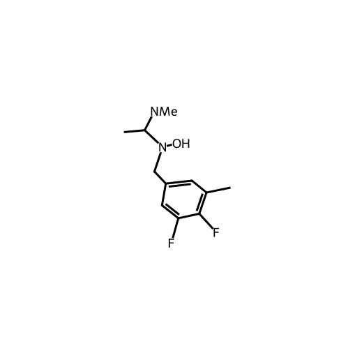 CNC(C)N(O)Cc1cc(C)c(F)c(F)c1